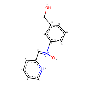 [O-][N+](=Cc1ccccn1)c1cccc(CO)c1